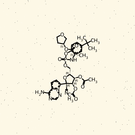 CC(=O)O[C@H]1[C@@H](OC(C)=O)[C@](C#N)(c2ccc3c(N)ncnn23)O[C@@H]1COP(=O)(N[C@@H](C)C(=O)O[C@H]1CCOC1)Oc1ccc(C(C)(C)C)cc1